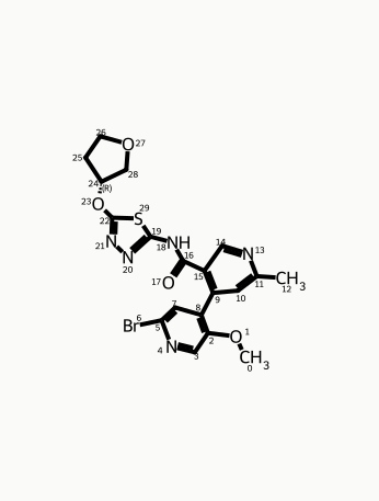 COc1cnc(Br)cc1-c1cc(C)ncc1C(=O)Nc1nnc(O[C@@H]2CCOC2)s1